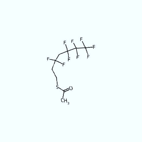 CC(=O)SCCC(F)(F)CC(F)(F)C(F)(F)C(F)(F)F